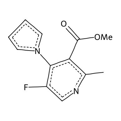 COC(=O)c1c(C)ncc(F)c1-n1cccc1